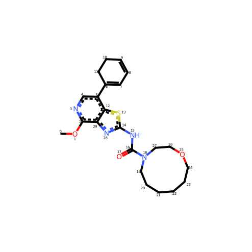 COc1ncc(C2=CC=CCC2)c2sc(NC(=O)N3CCCCCCOCC3)nc12